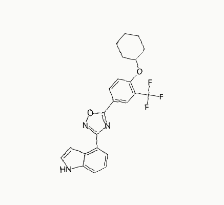 FC(F)(F)c1cc(-c2nc(-c3cccc4[nH]ccc34)no2)ccc1OC1CCCCC1